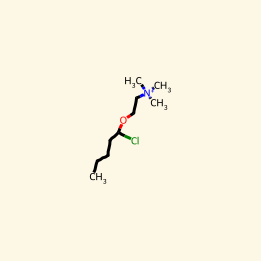 CCCCC(Cl)OCC[N+](C)(C)C